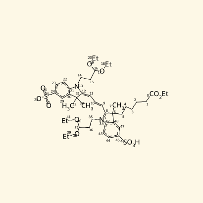 CCOC(=O)CCCCCC1(C)C(/C=C/C=C2/N(CCC(OCC)OCC)c3ccc(S(=O)(=O)[O-])cc3C2(C)C)=[N+](CCC(OCC)OCC)c2ccc(S(=O)(=O)O)cc21